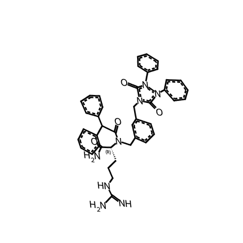 N=C(N)NCCC[C@H](C(N)=O)N(Cc1cccc(Cn2c(=O)n(-c3ccccc3)n(-c3ccccc3)c2=O)c1)C(=O)C(c1ccccc1)c1ccccc1